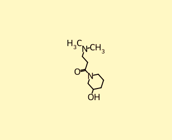 CN(C)CCC(=O)N1CCCC(O)C1